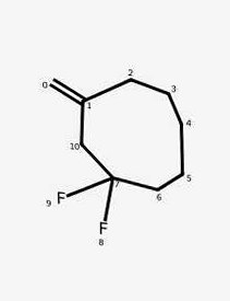 C=C1CCCCCC(F)(F)C1